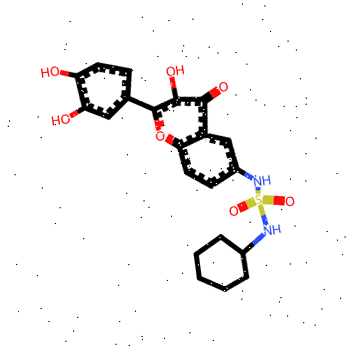 O=c1c(O)c(-c2ccc(O)c(O)c2)oc2ccc(NS(=O)(=O)NC3CCCCC3)cc12